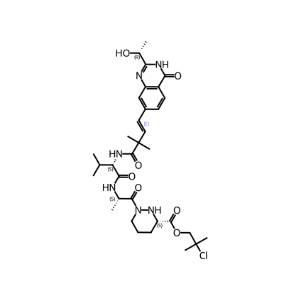 CC(C)[C@H](NC(=O)C(C)(C)/C=C/c1ccc2c(=O)[nH]c([C@@H](C)O)nc2c1)C(=O)N[C@@H](C)C(=O)N1CCC[C@@H](C(=O)OCC(C)(C)Cl)N1